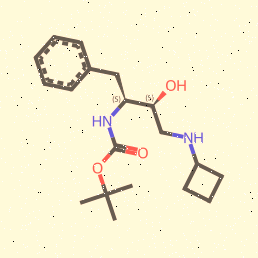 CC(C)(C)OC(=O)N[C@@H](Cc1ccccc1)[C@@H](O)CNC1CCC1